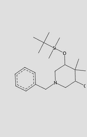 CC1(C)C(O)CN(Cc2ccccc2)CC1O[Si](C)(C)C(C)(C)C